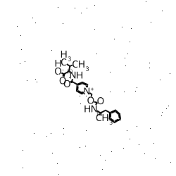 CC(C)[C@H](NC(=O)c1cc[n+](COC(=O)N[C@@H](C)Cc2ccccc2)cc1)C(=O)O